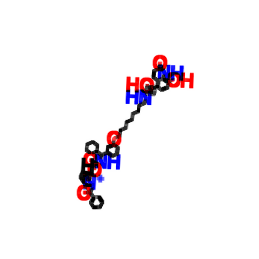 O=C(NC(c1cccc(OCCCCCCCCCNC[C@@H](O)c2ccc(O)c3[nH]c(=O)ccc23)c1)C1CCCCC1)O[C@H]1C[N+]2(CC(=O)c3ccccc3)CCC1CC2